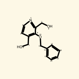 OCc1ccnc(CO)c1OCc1ccccc1